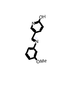 COc1cccc(/N=C/c2ccc(O)nc2)c1